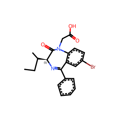 CCC(C)[C@@H]1N=C(c2ccccc2)c2cc(Br)ccc2N(CC(=O)O)C1=O